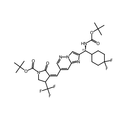 CC(C)(C)OC(=O)N[C@H](c1cn2ncc(C=C3C(=O)N(C(=O)OC(C)(C)C)CC3C(F)(F)F)cc2n1)C1CCC(F)(F)CC1